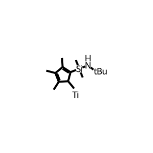 CC1=C(C)C(C)C([Si](C)(C)NC(C)(C)C)=C1C.[Ti]